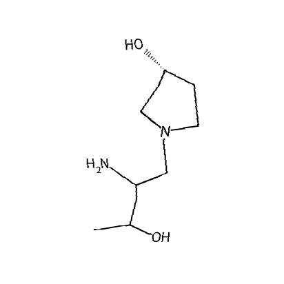 CC(O)C(N)CN1CC[C@@H](O)C1